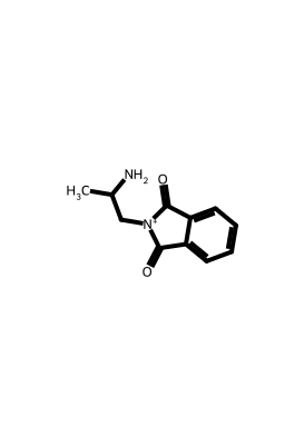 CC(N)C[N+]1C(=O)c2ccccc2C1=O